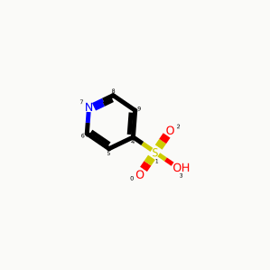 O=S(=O)(O)c1c[c]ncc1